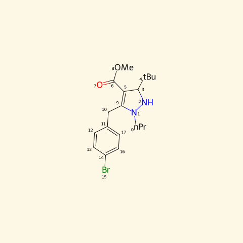 CCCN1NC(C(C)(C)C)C(C(=O)OC)=C1Cc1ccc(Br)cc1